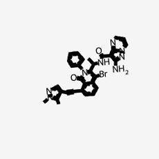 Cc1c(C#Cc2cccc3c(Br)c(C(C)NC(=O)c4c(N)nn5cccnc45)n(-c4ccccc4)c(=O)c23)cnn1C